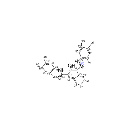 Cc1cc(C)c(/N=N/c2c(O)c(C(=O)Nc3cc(C)c(C)cc3C)cc3ccccc23)cc1C